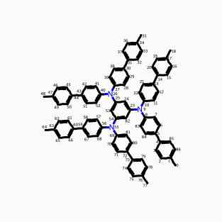 Cc1ccc(-c2ccc(N(c3ccc(-c4ccc(C)cc4)cc3)c3cc(N(c4ccc(-c5ccc(C)cc5)cc4)c4ccc(-c5ccc(C)cc5)cc4)cc(N(c4ccc(-c5ccc(C)cc5)cc4)c4ccc(-c5ccc(C)cc5)cc4)c3)cc2)cc1